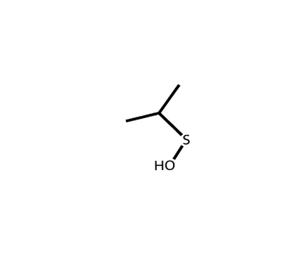 CC(C)SO